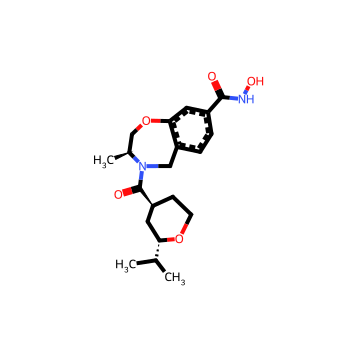 CC(C)[C@@H]1C[C@@H](C(=O)N2Cc3ccc(C(=O)NO)cc3OC[C@@H]2C)CCO1